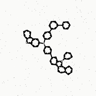 c1ccc(-c2cccc(-c3ccc(N(c4ccc(-c5ccc6c7ccc8ccccc8c7n(-c7ccccc7)c6c5)cc4)c4ccc5sc6ccccc6c5c4)cc3)c2)cc1